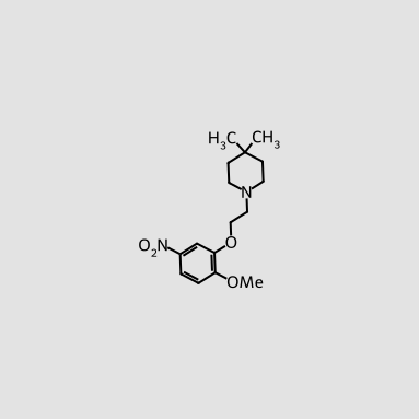 COc1ccc([N+](=O)[O-])cc1OCCN1CCC(C)(C)CC1